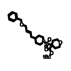 CC(C)(C)OC(=O)C1(S(=O)(=O)N2CCC(CC=CCOCc3ccccc3)CC2)CCOCC1